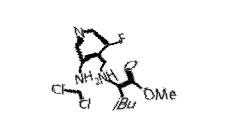 CCC(C)C(NCc1c(N)cncc1F)C(=O)OC.ClCCl